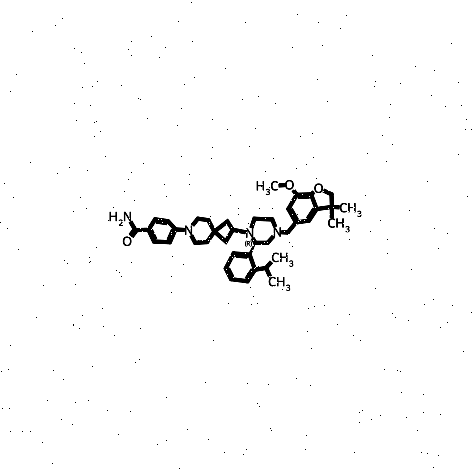 COc1cc(CN2CCN(C3CC4(CCN(c5ccc(C(N)=O)cc5)CC4)C3)[C@H](c3ccccc3C(C)C)C2)cc2c1OCC2(C)C